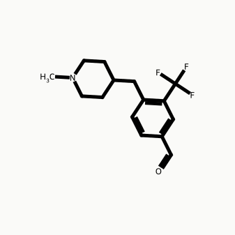 CN1CCC(Cc2ccc(C=O)cc2C(F)(F)F)CC1